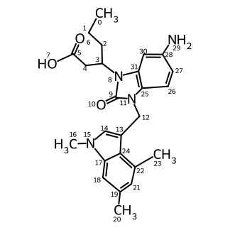 CCCC(CC(=O)O)n1c(=O)n(Cc2cn(C)c3cc(C)cc(C)c23)c2ccc(N)cc21